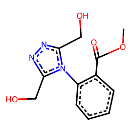 COC(=O)c1ccccc1-n1c(CO)nnc1CO